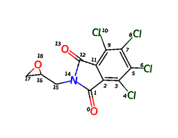 O=C1c2c(Cl)c(Cl)c(Cl)c(Cl)c2C(=O)N1CC1CO1